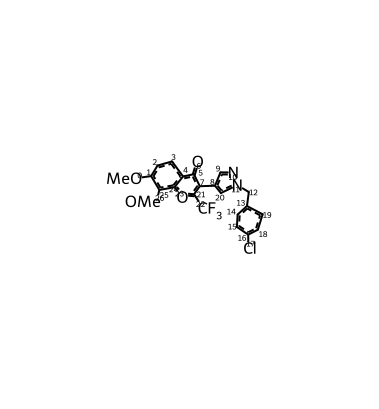 COc1ccc2c(=O)c(-c3cnn(Cc4ccc(Cl)cc4)c3)c(C(F)(F)F)oc2c1OC